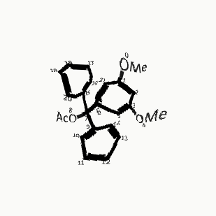 COc1cc(OC)cc(C(OC(C)=O)(c2ccccc2)c2ccccc2)c1